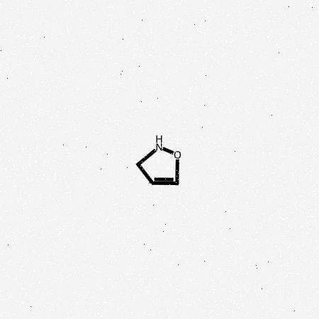 [C]1=CONC1